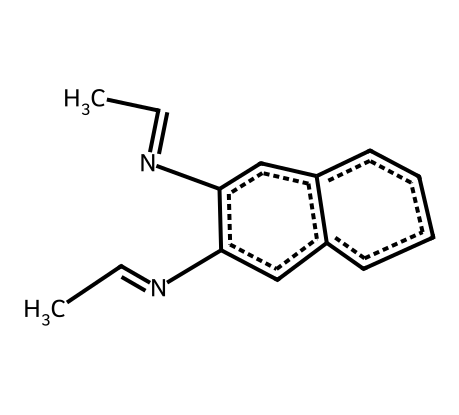 C/C=N/c1cc2ccccc2cc1/N=C/C